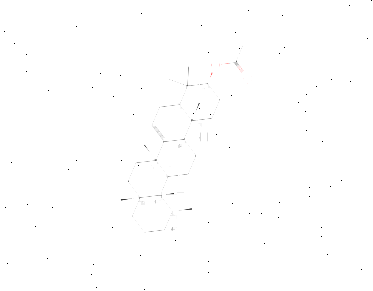 CC(=O)O[C@H]1CC[C@]2(C)[C@H]3CC[C@@]4(C)[C@@H]5[C@@H](C)[C@H](C)CC[C@]5(C)CC[C@]4(C)C3=CC[C@H]2C1(C)C